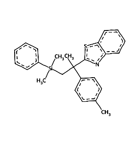 Cc1ccc(C(C)(C[Si](C)(C)c2ccccc2)c2nc3ccccc3s2)cc1